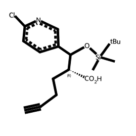 C#CCC[C@@H](C(=O)O)C(O[Si](C)(C)C(C)(C)C)c1ccc(Cl)nc1